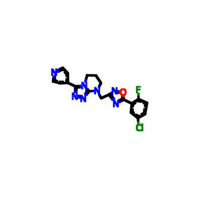 Fc1ccc(Cl)cc1-c1nc(CN2CCCn3c(-c4ccncc4)nnc32)no1